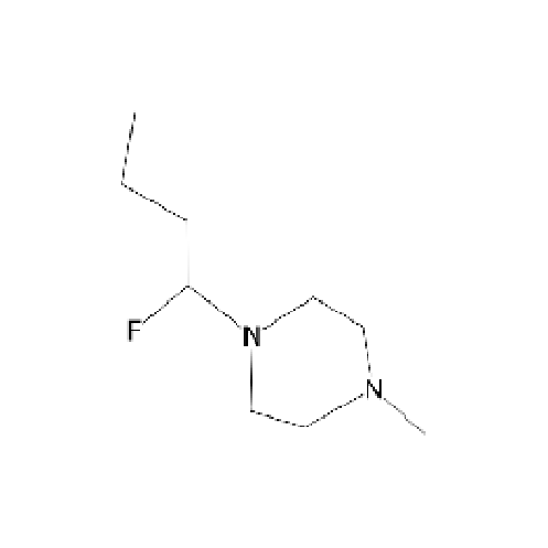 CCCC(F)N1CCN(C)CC1